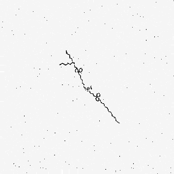 CCCCCCCCCCCOC(=O)CCCCCNCCCCCCCC(=O)OCCCC(CCCCC)CCCCC